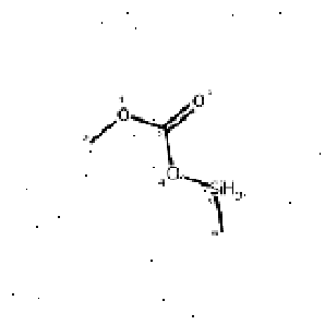 COC(=O)O[SiH2]C